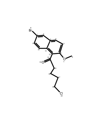 COc1ccc2cc(Br)ccc2c1C(=O)CCCCCl